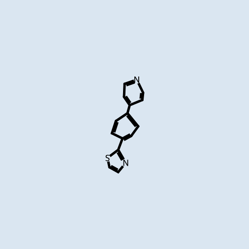 c1cc(-c2ccc(-c3nccs3)cc2)ccn1